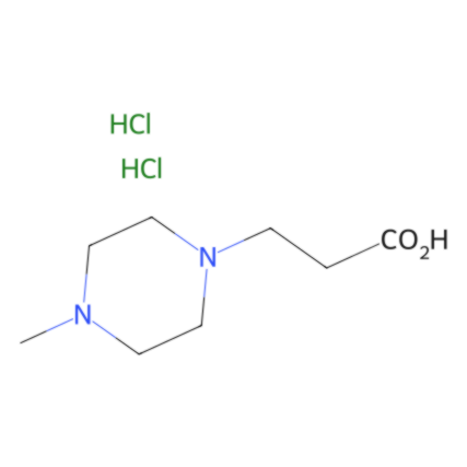 CN1CCN(CCC(=O)O)CC1.Cl.Cl